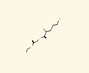 CC(C)(C)CNC(=O)CNC(=O)C(N)CCCN